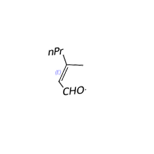 CCC/C(C)=C/[C]=O